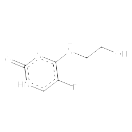 O=c1nc(NCCO)c(F)c[nH]1